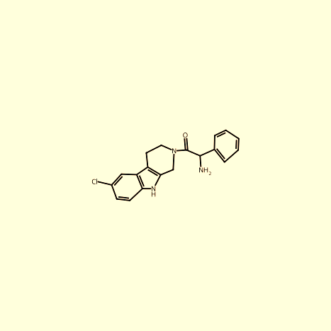 NC(C(=O)N1CCc2c([nH]c3ccc(Cl)cc23)C1)c1ccccc1